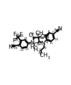 CCCN(c1ccc(C#N)cc1)C(C)[C@](C)(O)C(=O)Nc1ccc(C#N)c(C(F)(F)F)c1